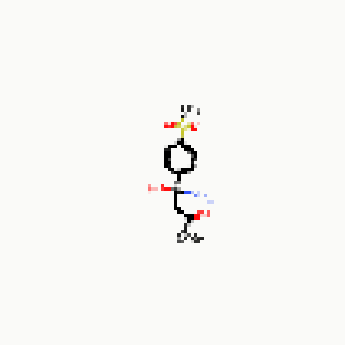 COC(=O)CC(N)(O)c1ccc(S(C)(=O)=O)cc1